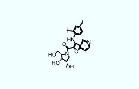 O=C(c1oc2ccncc2c1Nc1ccc(I)cc1F)N1C[C@H](O)[C@@H](O)[C@H]1CO